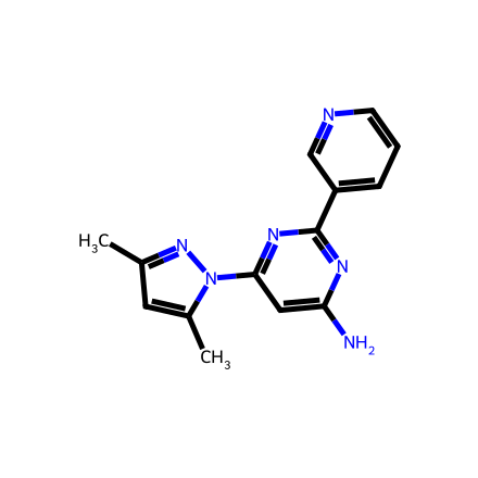 Cc1cc(C)n(-c2cc(N)nc(-c3cccnc3)n2)n1